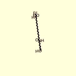 O=C(CCCCCCCCCCCCCCCNC(=O)C(F)(F)F)NCCCCCCO